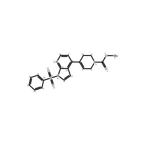 CC(C)(C)OC(=O)N1CC=C(c2ccnc3c2ccn3S(=O)(=O)c2ccccc2)CC1